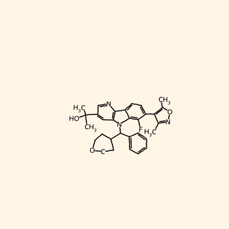 Cc1noc(C)c1-c1ccc2c3ncc(C(C)(C)O)cc3n(C(c3ccccc3)C3CCOCC3)c2c1F